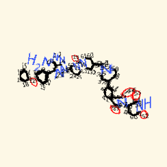 Nc1ncnc2c1c(-c1ccc(Oc3ccccc3)cc1)nn2[C@@H]1CCCN(C(=O)N2CCC(CN3CCC(c4ccc5c(c4)C(=O)N(C4CCC(=O)NC4=O)C5=O)CC3)CC2)C1